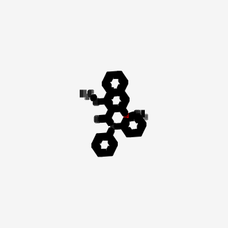 COc1cc2ccccc2c(OC)c1C(=O)P(c1ccccc1)c1ccccc1